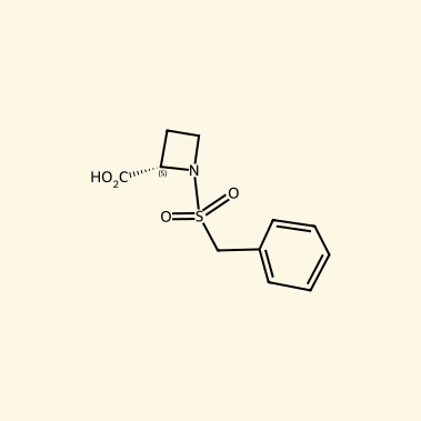 O=C(O)[C@@H]1CCN1S(=O)(=O)Cc1ccccc1